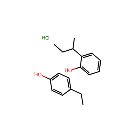 CCC(C)c1ccccc1O.CCc1ccc(O)cc1.Cl